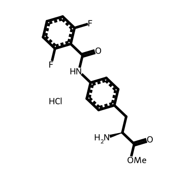 COC(=O)[C@@H](N)Cc1ccc(NC(=O)c2c(F)cccc2F)cc1.Cl